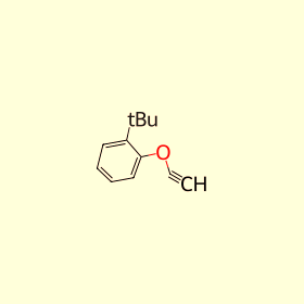 C#COc1ccccc1C(C)(C)C